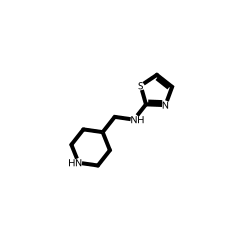 c1csc(NCC2CCNCC2)n1